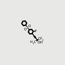 CC(O)(C#Cc1ccc(S(=O)(=O)c2ccccc2)cc1F)C(F)(F)F